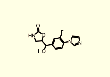 O=C1NCC(C(O)c2ccc(-n3ccnc3)c(F)c2)O1